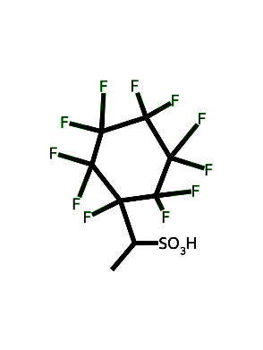 CC(C1(F)C(F)(F)C(F)(F)C(F)(F)C(F)(F)C1(F)F)S(=O)(=O)O